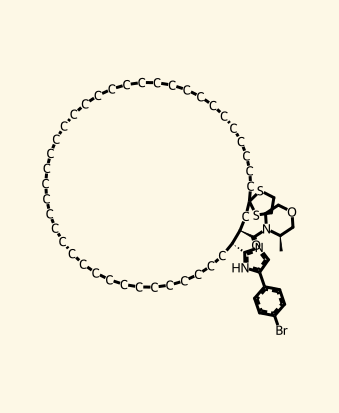 C[C@@H]1COCCN1C(=O)[C@@H]1CC2(CCCCCCCCCCCCCCCCCCCCCCCCCCCCCCCCCCCCCC[C@H]1c1ncc(-c3ccc(Br)cc3)[nH]1)SCCS2